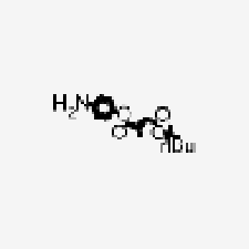 CCCCC(C)(C)OC(=O)C=C(C)C(=O)Oc1ccc(N)cc1